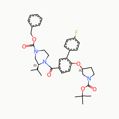 CC(C)[C@H]1CN(C(=O)OCc2ccccc2)CCN1C(=O)c1ccc(O[C@H]2CCN(C(=O)OC(C)(C)C)C2)c(-c2ccc(F)cc2)c1